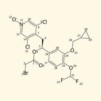 O=C(CBr)O[C@@H](Cc1c(Cl)c[n+]([O-])cc1Cl)c1ccc(OC(F)F)c(OCC2CC2)c1